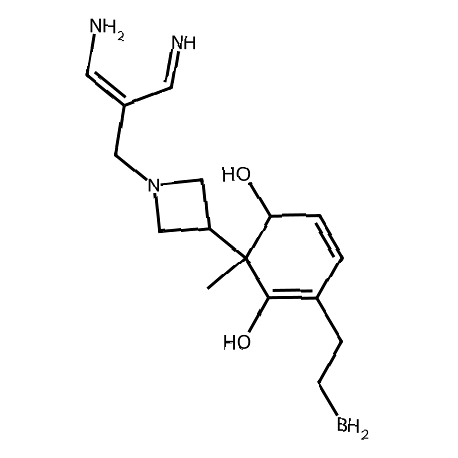 BCCC1=C(O)C(C)(C2CN(C/C(C=N)=C/N)C2)C(O)C=C1